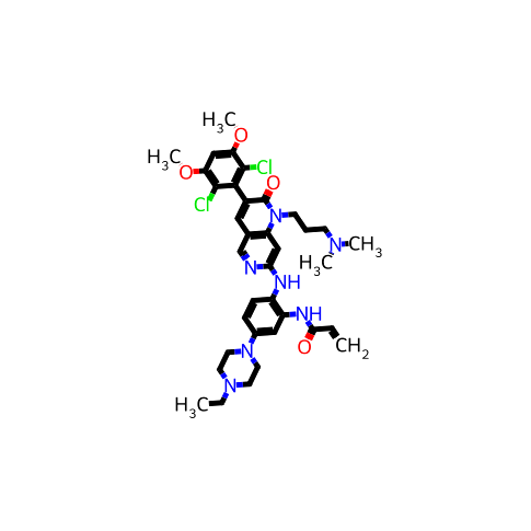 C=CC(=O)Nc1cc(N2CCN(CC)CC2)ccc1Nc1cc2c(cn1)cc(-c1c(Cl)c(OC)cc(OC)c1Cl)c(=O)n2CCCN(C)C